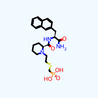 NC(=O)[C@H](Cc1ccc2ccccc2c1)NC(=O)[C@@H]1CCCCN1CCSCP(=O)(O)O